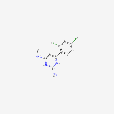 CNc1cc(-c2ccc(F)cc2F)nc(N)n1